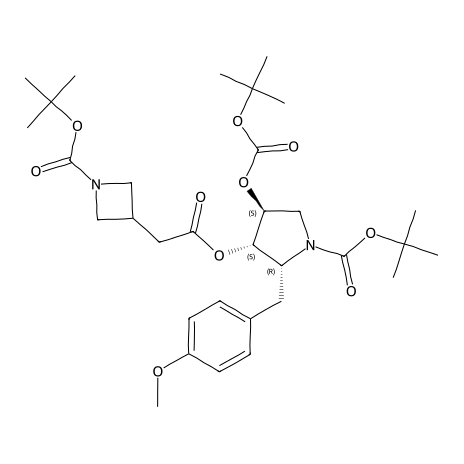 COc1ccc(C[C@@H]2[C@H](OC(=O)CC3CN(C(=O)OC(C)(C)C)C3)[C@@H](OC(=O)OC(C)(C)C)CN2C(=O)OC(C)(C)C)cc1